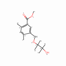 COC(=O)c1cc(BOC(C)(C)C(C)(C)O)c(C)cc1C